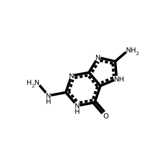 NNc1nc2nc(N)[nH]c2c(=O)[nH]1